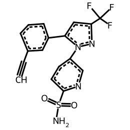 C#Cc1cccc(-c2cc(C(F)(F)F)nn2-c2ccc(S(N)(=O)=O)nc2)c1